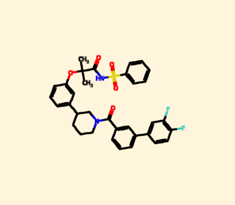 CC(C)(Oc1cccc(C2CCCN(C(=O)c3cccc(-c4ccc(F)c(F)c4)c3)C2)c1)C(=O)NS(=O)(=O)c1ccccc1